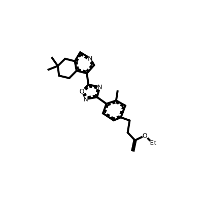 C=C(CCc1ccc(-c2noc(-c3cncc4c3CCC(C)(C)C4)n2)c(C)c1)OCC